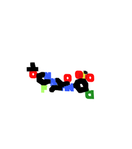 Cc1cc(C(=O)Nc2cc(Cl)cc(S(C)(=O)=O)c2)cn1-c1ncc(OC(C)(C)C)cc1F